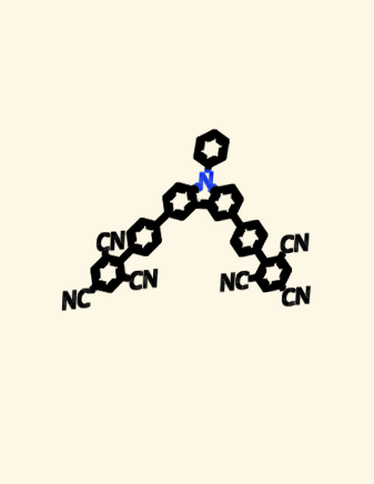 N#Cc1cc(C#N)c(-c2ccc(-c3ccc4c(c3)c3cc(-c5ccc(-c6c(C#N)cc(C#N)cc6C#N)cc5)ccc3n4-c3ccccc3)cc2)c(C#N)c1